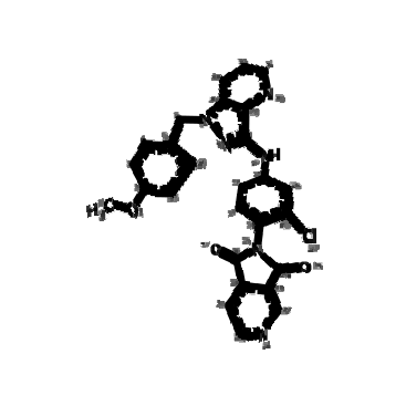 COc1ccc(Cn2nc(Nc3ccc(N4C(=O)c5ccncc5C4=O)c(Cl)c3)c3ncccc32)cc1